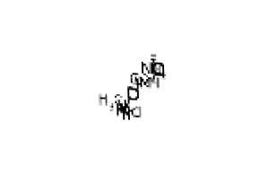 Cn1nnc(Cl)c1-c1ccc(C(=O)N[C@H](CN)Cc2cccc(F)c2)cc1